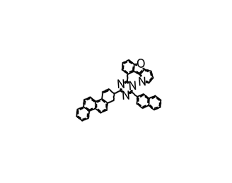 C1=CC(c2nc(-c3ccc4ccccc4c3)nc(-c3cccc4oc5cccnc5c34)n2)Cc2ccc3c(ccc4ccccc43)c21